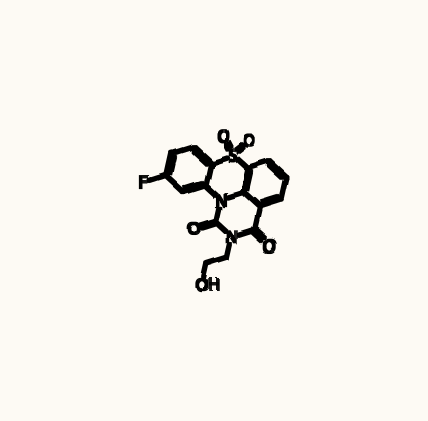 O=c1c2cccc3c2n(c(=O)n1CCO)-c1cc(F)ccc1S3(=O)=O